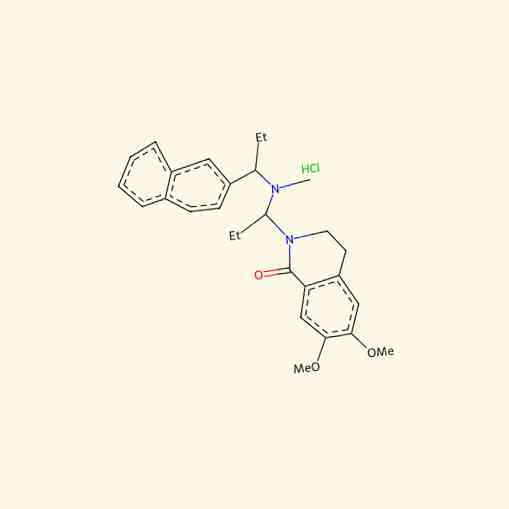 CCC(c1ccc2ccccc2c1)N(C)C(CC)N1CCc2cc(OC)c(OC)cc2C1=O.Cl